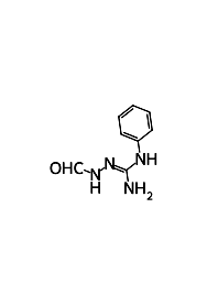 NC(=NNC=O)Nc1ccccc1